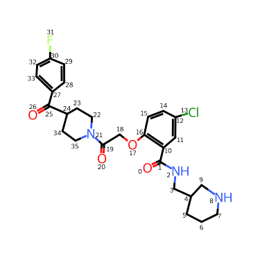 O=C(NCC1CCCNC1)c1cc(Cl)ccc1OCC(=O)N1CCC(C(=O)c2ccc(F)cc2)CC1